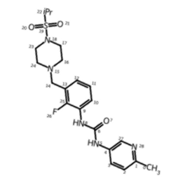 Cc1ccc(NC(=O)Nc2cccc(CN3CCN(S(=O)(=O)C(C)C)CC3)c2F)cn1